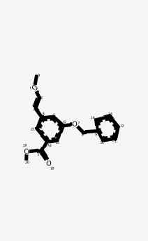 CO/C=C/c1cc(OCc2ccccc2)cc(C(=O)OC)c1